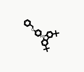 CC(C)(C)c1ccc2c(c1)-c1cc(C(C)(C)C)ccc1[SH]2c1ccc(OCc2ccccc2)cc1